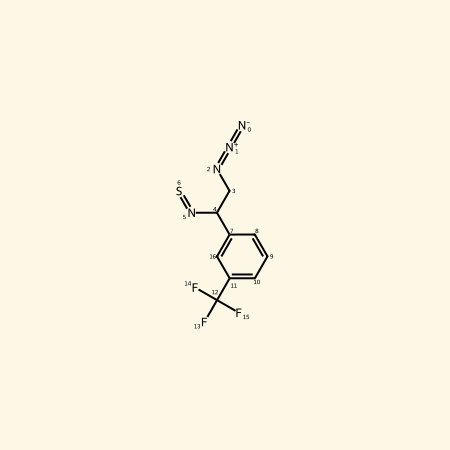 [N-]=[N+]=NCC(N=S)c1cccc(C(F)(F)F)c1